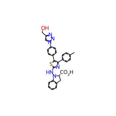 Cc1ccc(-c2nc(NN3c4ccccc4CC3C(=O)O)sc2-c2ccc(-n3cc(CO)nn3)cc2)cc1